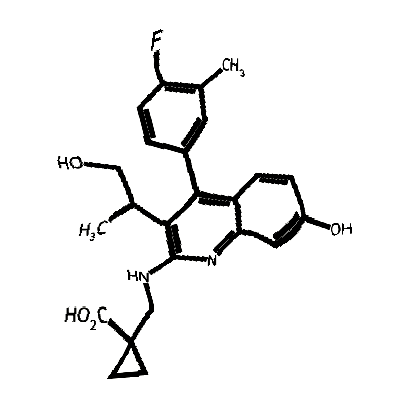 Cc1cc(-c2c(C(C)CO)c(NCC3(C(=O)O)CC3)nc3cc(O)ccc23)ccc1F